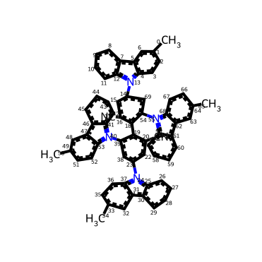 Cc1ccc2c(c1)c1ccccc1n2-c1cc(C#N)c(-c2c(C#N)cc(-n3c4ccccc4c4cc(C)ccc43)cc2-n2c3ccccc3c3cc(C)ccc32)c(-n2c3ccccc3c3cc(C)ccc32)c1